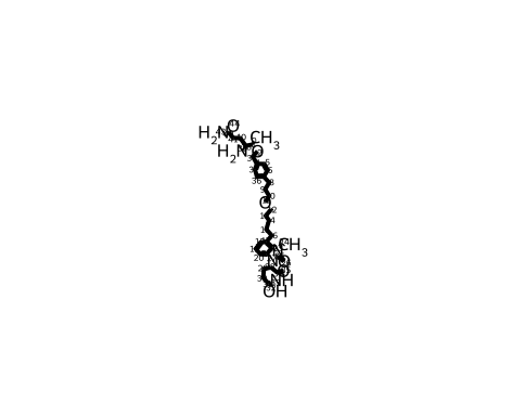 C[C@@H](OCc1ccc(CCCOCCCCCc2cccc3c2n(C)c(=O)n3C2CCC(O)NC2=O)cc1)[C@@H](N)CCC(N)=O